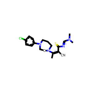 C/C(=C(\C#N)C(=S)/N=C/N(C)C)N1CCCN(c2ccc(Cl)cc2)CC1